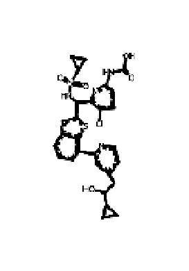 O=C(O)Nc1ccc(Cl)c(C(NS(=O)(=O)C2CC2)c2cc3cccc(-c4cc(CC(O)C5CC5)ccn4)c3s2)n1